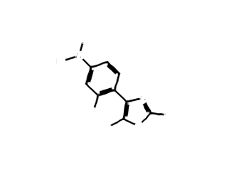 CCc1sc(C)nc1-c1ccc(N(CC)CC)cc1Cl